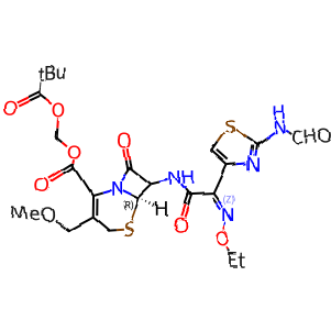 CCO/N=C(\C(=O)NC1C(=O)N2C(C(=O)OCOC(=O)C(C)(C)C)=C(COC)CS[C@H]12)c1csc(NC=O)n1